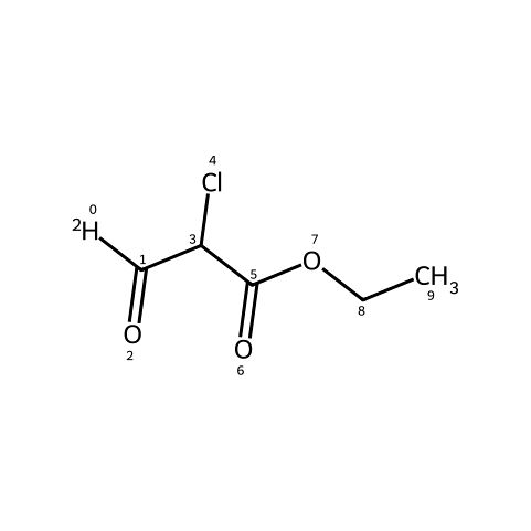 [2H]C(=O)C(Cl)C(=O)OCC